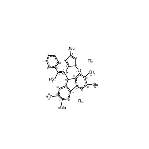 CCC1C=C(C(C)(C)C)C=[C]1/[Zr+2](=[C](/C)c1ccccc1)[CH]1c2cc(C)c(C(C)(C)C)cc2-c2cc(C(C)(C)C)c(C)cc21.[Cl-].[Cl-]